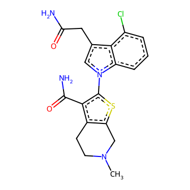 CN1CCc2c(sc(-n3cc(CC(N)=O)c4c(Cl)cccc43)c2C(N)=O)C1